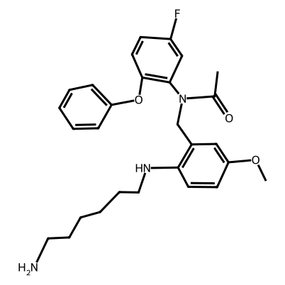 COc1ccc(NCCCCCCN)c(CN(C(C)=O)c2cc(F)ccc2Oc2ccccc2)c1